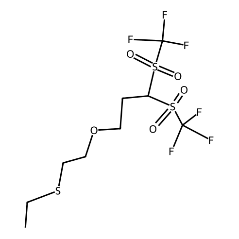 CCSCCOCCC(S(=O)(=O)C(F)(F)F)S(=O)(=O)C(F)(F)F